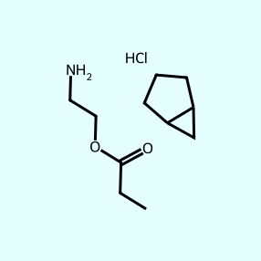 C1CC2CC2C1.CCC(=O)OCCN.Cl